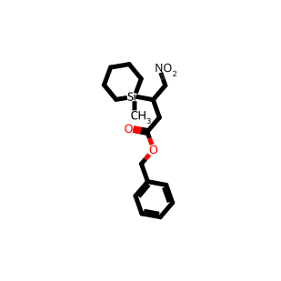 C[Si]1(C(CC(=O)OCc2ccccc2)C[N+](=O)[O-])CCCCC1